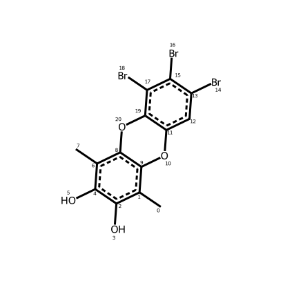 Cc1c(O)c(O)c(C)c2c1Oc1cc(Br)c(Br)c(Br)c1O2